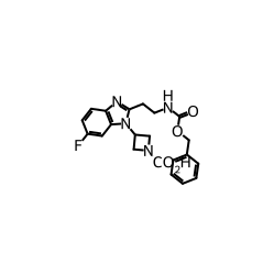 O=C(NCCc1nc2ccc(F)cc2n1C1CN(C(=O)O)C1)OCc1ccccc1